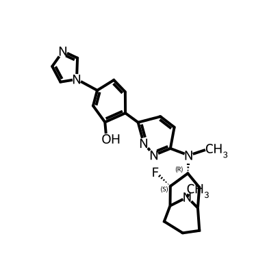 CN1C2CCCC1[C@H](F)[C@H](N(C)c1ccc(-c3ccc(-n4ccnc4)cc3O)nn1)C2